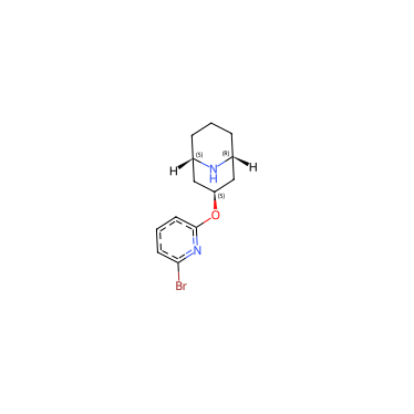 Brc1cccc(O[C@@H]2C[C@H]3CCC[C@@H](C2)N3)n1